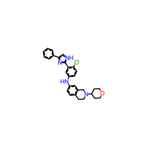 Clc1ccc(Nc2ccc3c(c2)CN(C2CCOCC2)CC3)cc1-c1nc(-c2ccccc2)c[nH]1